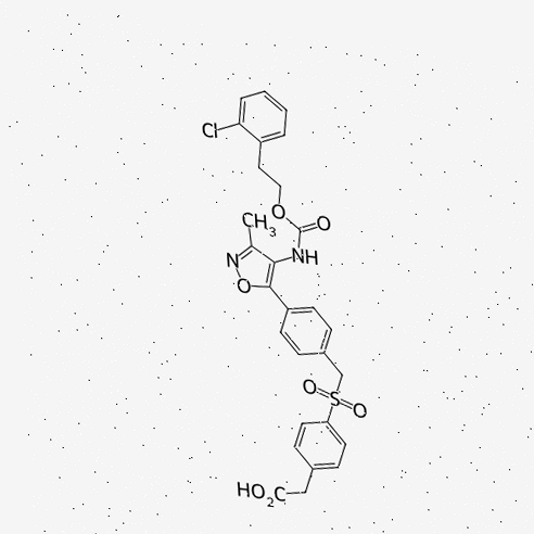 Cc1noc(-c2ccc(CS(=O)(=O)c3ccc(CC(=O)O)cc3)cc2)c1NC(=O)OCCc1ccccc1Cl